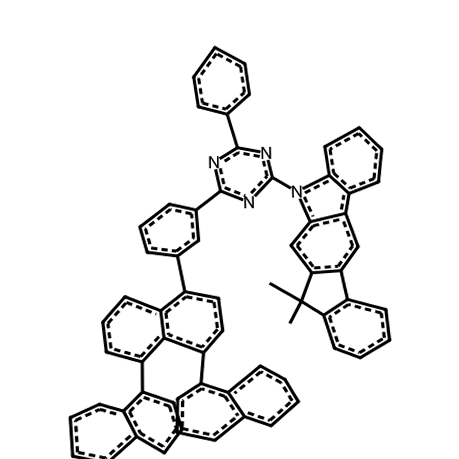 CC1(C)c2ccccc2-c2cc3c4ccccc4n(-c4nc(-c5ccccc5)nc(-c5cccc(-c6ccc(-c7cccc8ccccc78)c7c(-c8cccc9ccccc89)cccc67)c5)n4)c3cc21